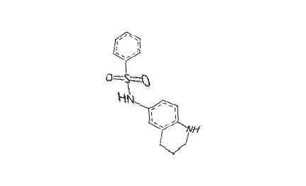 O=S(=O)(Nc1ccc2c(c1)CCCN2)c1ccccc1